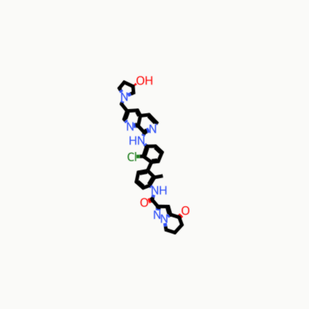 Cc1c(NC(=O)c2cc3n(n2)CCCC3=O)cccc1-c1cccc(Nc2nccc3cc(CN4CC[C@@H](O)C4)cnc23)c1Cl